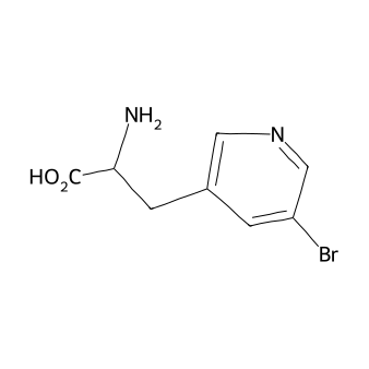 NC(Cc1cncc(Br)c1)C(=O)O